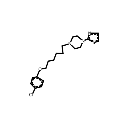 Clc1ccc(OCCCCCCN2CCN(c3nccs3)CC2)cc1